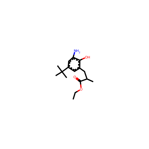 CCOC(=O)C(C)Cc1cc(C(C)(C)C)cc(N)c1O